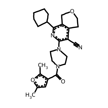 Cc1cc(C(=O)N2CCN(c3nc(C4CCCCC4)c4c(c3C#N)CCOC4)CC2)c(C)o1